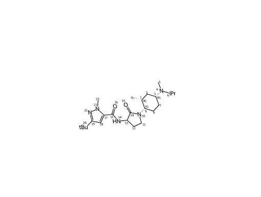 [CH2][C@@H]1C[C@H](N(C)C(C)C)CC[C@@H]1N1CCC(NC(=O)c2cc(C(C)(C)C)nn2C)C1=O